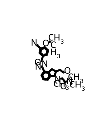 CC(C)Oc1ccc(-c2nc(-c3cccc4c3CC(CC=O)C4N(C)CC(=O)N(C)C)no2)cc1C#N